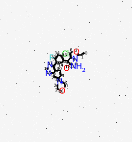 C=CC(=O)N(C)/C(=C\C)C(C(N)=O)c1cc(-c2ncnc3cc(N4CCOCC4)ccc23)c(F)cc1Cl